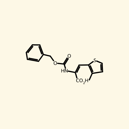 Cc1ccsc1C=C(NC(=O)OCc1ccccc1)C(=O)O